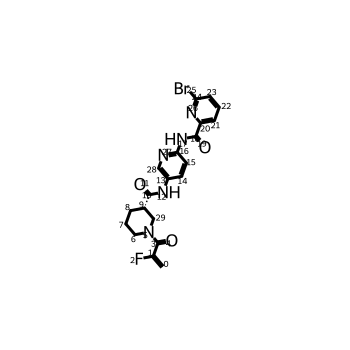 C=C(F)C(=O)N1CCC[C@H](C(=O)Nc2ccc(NC(=O)c3cccc(Br)n3)nc2)C1